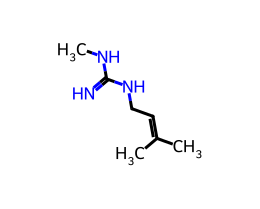 CNC(=N)NCC=C(C)C